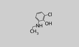 CCNc1cccc(Cl)c1O